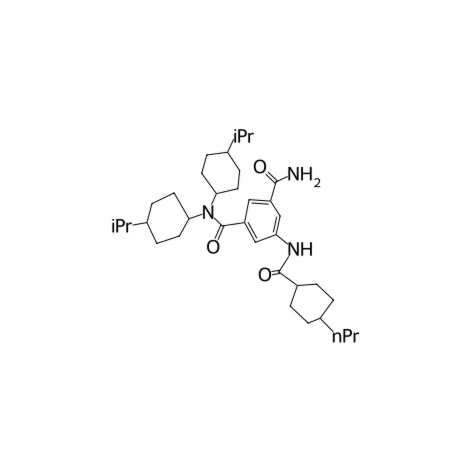 CCCC1CCC(C(=O)Nc2cc(C(N)=O)cc(C(=O)N(C3CCC(C(C)C)CC3)C3CCC(C(C)C)CC3)c2)CC1